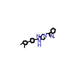 Cc1ccc(-c2ccc(-c3nc4c([nH]3)C=CN(Cc3cn(C)c5ccccc35)C4)cc2)cc1C